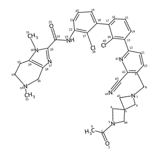 CC(=O)N1CC2(CN(Cc3ccc(-c4cccc(-c5cccc(NC(=O)c6nc7c(n6C)CCN(C)C7)c5Cl)c4Cl)nc3C#N)C2)C1